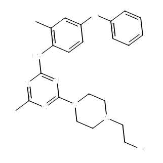 Cc1nc(Nc2ccc(Oc3ccccc3)cc2C)nc(N2CCN(CCO)CC2)n1